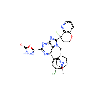 C[C@H]1CC[C@H](Cn2c(C3(F)CCOc4cccnc43)nc3nc(-c4n[nH]c(=O)o4)nc(-c4cncc(Cl)c4)c32)CC1